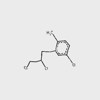 Cc1ccc(Cl)cc1CC(Cl)CCl